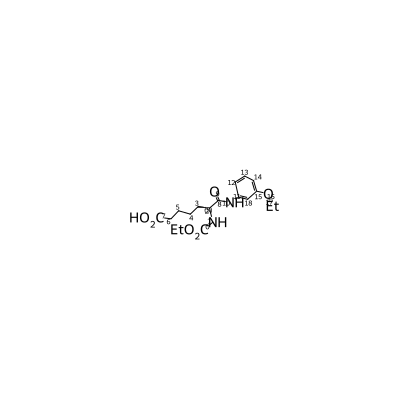 CCOC(=O)N[C@@H](CCCCC(=O)O)C(=O)Nc1cccc(OCC)c1